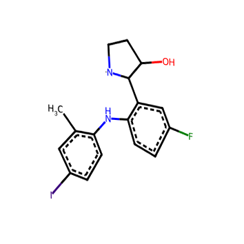 Cc1cc(I)ccc1Nc1ccc(F)cc1C1[N]CCC1O